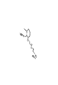 CC(C)C1C(C)CCCC1OCCOCCCOC(C)(C)C